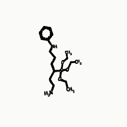 CCO[Si](OCC)(OCC)C(CCN)CCCNc1ccccc1